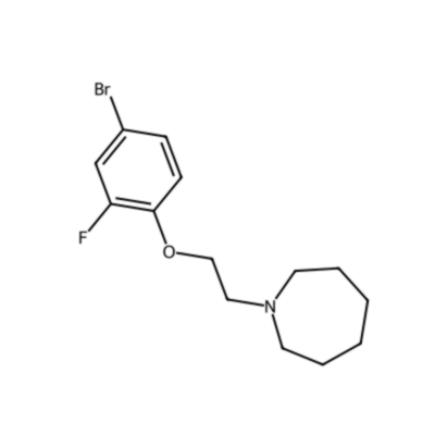 Fc1cc(Br)ccc1OCCN1CCCCCC1